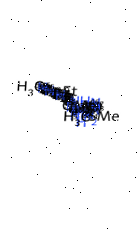 CCc1cc(Nc2ncc(N)c(Nc3ccc4nccnc4c3N(C)SC)n2)c(OC)cc1N1CCC(N2CCN(C)CC2)CC1